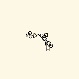 C=C(C)C(=O)Oc1ccc(CCOc2ccc(C3=NNC(=O)CC3)cc2Cl)cc1